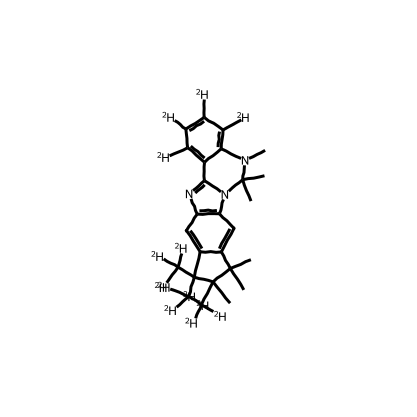 [2H]c1c([2H])c([2H])c2c(c1[2H])-c1nc3cc4c(cc3n1C(C)(C)N2C)C(C)(C)C(C)(C([2H])([2H])[2H])C4(C([2H])([2H])[2H])C([2H])([2H])[2H]